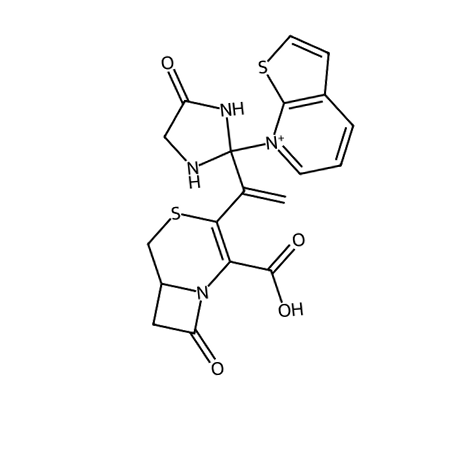 C=C(C1=C(C(=O)O)N2C(=O)CC2CS1)C1([n+]2cccc3ccsc32)NCC(=O)N1